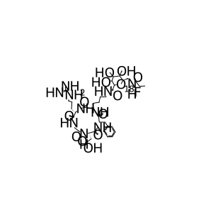 CC([18F])C(=O)NC[C@H]1OC(C(=O)NCCCC[C@@H]2NC(=O)C(Cc3ccccc3)NC(=O)[C@H](CC(=O)O)NC(=O)CNC(=O)[C@H](CCCNC(=N)N)NC2=O)[C@@H](O)C(O)[C@H]1O